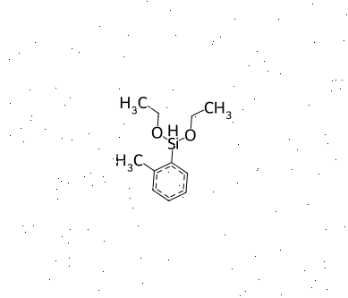 CCO[SiH](OCC)c1ccccc1C